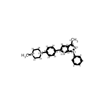 Cc1nn(-c2ccccc2)c2sc(-c3ccc(N4CCN(C)CC4)cc3)cc12